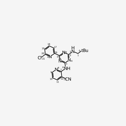 CC(C)(C)CNc1nc(Nc2ncccc2C#N)nc(-c2cccc(Cl)n2)n1